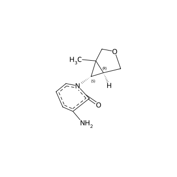 CC12COC[C@H]1[C@@H]2n1cccc(N)c1=O